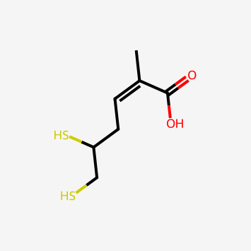 CC(=CCC(S)CS)C(=O)O